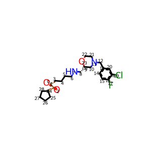 O=S(=O)(CCCCNC[C@H]1CN(Cc2ccc(F)c(Cl)c2)CCO1)C1CCCC1